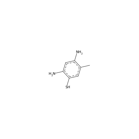 Cc1cc(S)c(N)cc1N